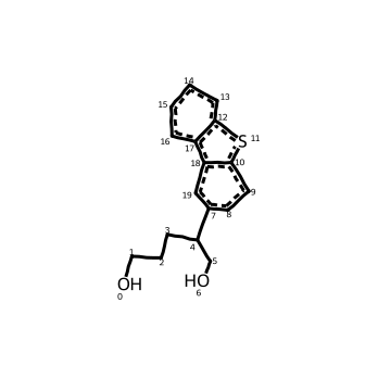 OCCCC(CO)c1ccc2sc3ccccc3c2c1